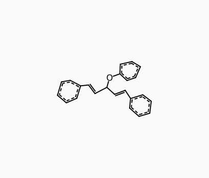 C(=CC(C=Cc1ccccc1)Oc1ccccc1)c1ccccc1